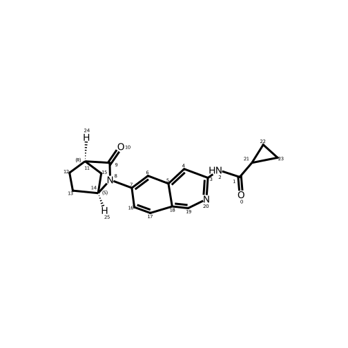 O=C(Nc1cc2cc(N3C(=O)[C@@H]4CC[C@H]3C4)ccc2cn1)C1CC1